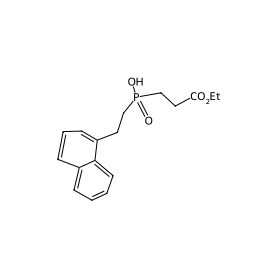 CCOC(=O)CCP(=O)(O)CCc1cccc2ccccc12